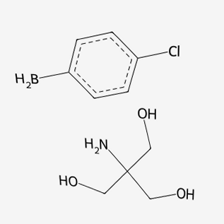 Bc1ccc(Cl)cc1.NC(CO)(CO)CO